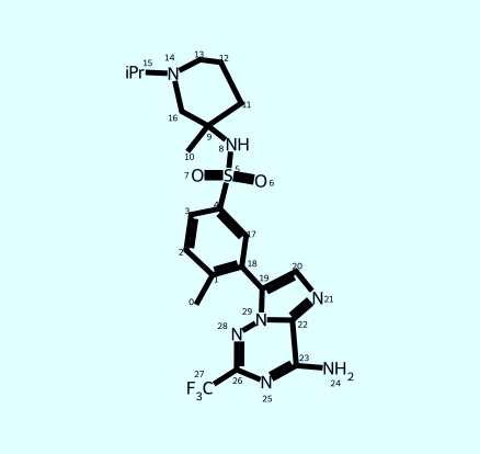 Cc1ccc(S(=O)(=O)NC2(C)CCCN(C(C)C)C2)cc1-c1cnc2c(N)nc(C(F)(F)F)nn12